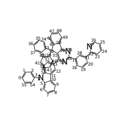 c1ccc(-n2c3ccccc3c3cc(-c4nc(-c5cccc(-c6ccccn6)c5)nc5c4C(c4ccccc4)(c4ccccc4)c4ccccc4-5)ccc32)cc1